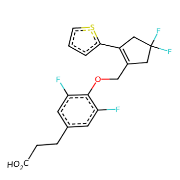 O=C(O)CCc1cc(F)c(OCC2=C(c3cccs3)CC(F)(F)C2)c(F)c1